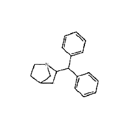 [CH]1C2CCN(C2)C1C(c1ccccc1)c1ccccc1